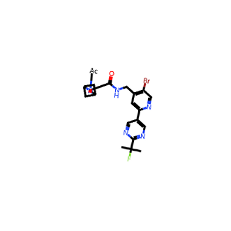 CC(=O)N1C2CC(C2)C1C(=O)NCc1cc(-c2cnc(C(C)(C)F)nc2)ncc1Br